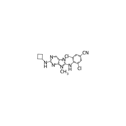 Cn1c(Nc2c(Cl)cc(C#N)cc2Cl)nc2cnc(NC3CCC3)nc21